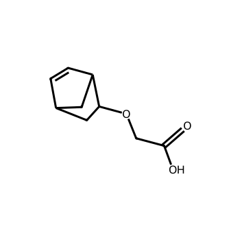 O=C(O)COC1CC2C=CC1C2